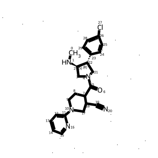 CN[C@@H]1CN(C(=O)C2CCN(c3ccccn3)CC2C#N)C[C@H]1c1ccc(Cl)cc1